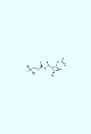 CC(=O)OC1NC(=O)C1[C@H](C)OC(=O)OCC(Cl)(Cl)Cl